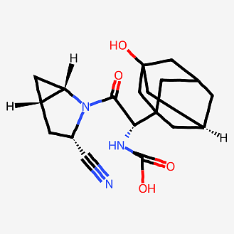 N#C[C@@H]1C[C@@H]2C[C@@H]2N1C(=O)[C@@H](NC(=O)O)C12CC3C[C@H](CC(O)(C3)C1)C2